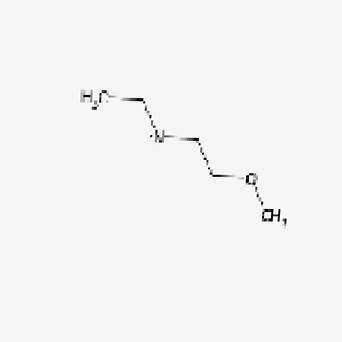 CC[N]CCOC